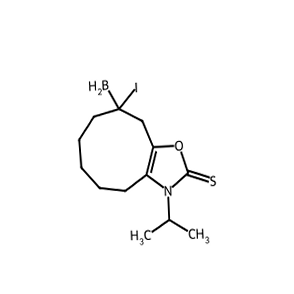 BC1(I)CCCCCc2c(oc(=S)n2C(C)C)C1